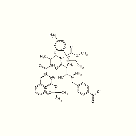 CC[C@H](C)[C@](C(=O)OC)(c1ccc(N)cc1)N(C(=O)CC(O)[C@@H](N)Cc1ccc([N+](=O)[O-])cc1)C(=O)C(C)NC(=O)[C@H](Cc1ccccc1)NC(=O)OC(C)(C)C